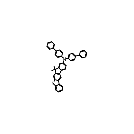 CC1(C)c2cc(N(c3ccc(-c4ccccc4)cc3)c3ccc(-c4ccccc4)cc3)ccc2-c2cc3c(cc21)sc1ccccc13